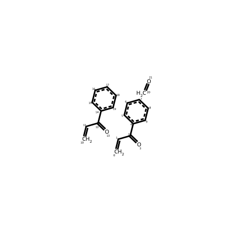 C=CC(=O)c1ccccc1.C=CC(=O)c1ccccc1.C=O